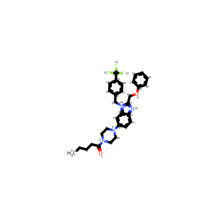 CCCCC(=O)N1CCN(c2ccc3nc(COc4ccccc4)n(Cc4ccc(C(F)(F)F)cc4)c3c2)CC1